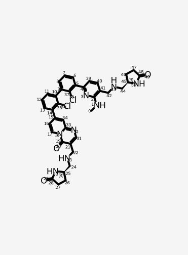 CNc1nc(-c2cccc(-c3cccc(-c4ccn5c(=O)c(CNC[C@H]6CCC(=O)N6)cnc5c4)c3Cl)c2Cl)ccc1CNC[C@H]1CCC(=O)N1